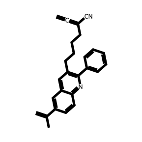 C=C=C(C#N)CCCCc1cc2cc(C(=C)C)ccc2nc1-c1ccccc1